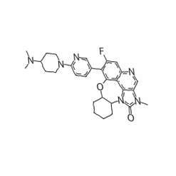 CN(C)C1CCN(c2ccc(-c3c(F)cc4ncc5c6c4c3OC3CCCCC3n6c(=O)n5C)cn2)CC1